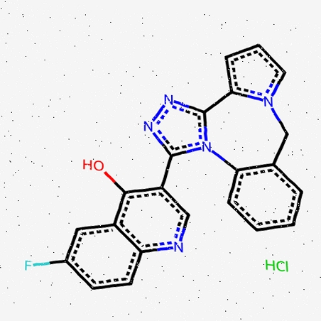 Cl.Oc1c(-c2nnc3n2-c2ccccc2Cn2cccc2-3)cnc2ccc(F)cc12